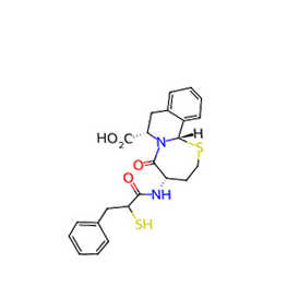 O=C(N[C@H]1CCS[C@H]2c3ccccc3C[C@@H](C(=O)O)N2C1=O)C(S)Cc1ccccc1